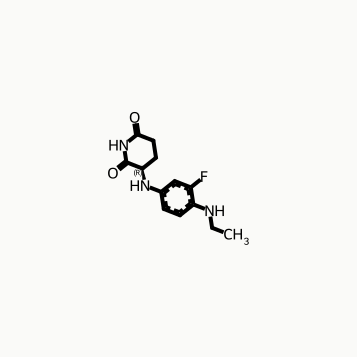 CCNc1ccc(N[C@@H]2CCC(=O)NC2=O)cc1F